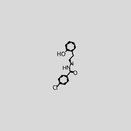 O=C(NN=CCc1ccccc1O)c1ccc(Cl)cc1